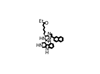 CCC(=O)CCCCC[C@H](NC(=O)[C@H]1CNCc2[nH]c3ccccc3c21)c1ncc(-c2ccc3ccccc3c2)[nH]1